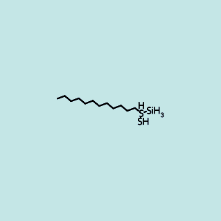 CCCCCCCCCCCC[SH]([SiH3])S